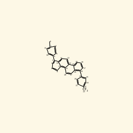 Cc1ccc(-c2cccc3c2ccc2c4cccc(-c5ccc(C(F)(F)F)cc5)c4ccc32)cc1